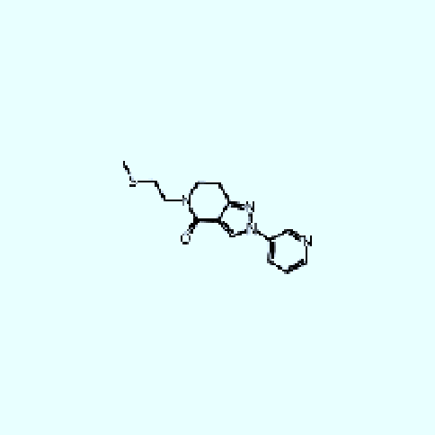 CSCCN1CCc2nn(-c3cccnc3)cc2C1=O